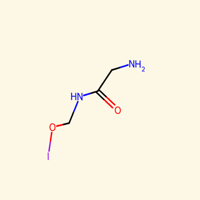 NCC(=O)NCOI